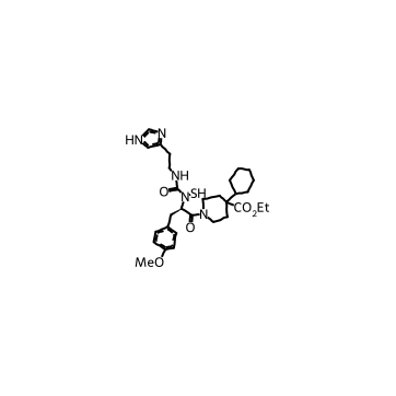 CCOC(=O)C1(C2CCCCC2)CCN(C(=O)[C@@H](Cc2ccc(OC)cc2)N(S)C(=O)NCCc2c[nH]cn2)CC1